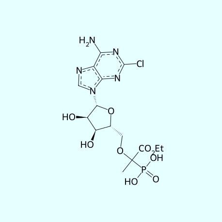 CCOC(=O)C(C)(OC[C@H]1O[C@@H](n2cnc3c(N)nc(Cl)nc32)[C@H](O)[C@@H]1O)P(=O)(O)O